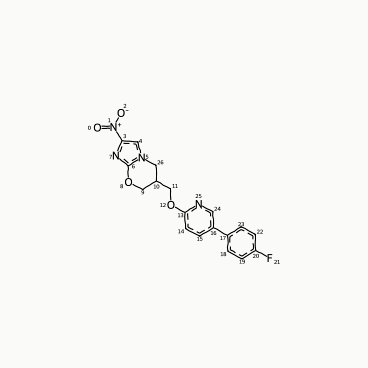 O=[N+]([O-])c1cn2c(n1)OCC(COc1ccc(-c3ccc(F)cc3)cn1)C2